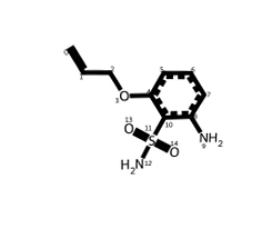 C=CCOc1cccc(N)c1S(N)(=O)=O